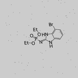 CCOP(=O)(/N=c1/[nH]c2cccc(Br)c2[nH]1)OCC